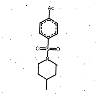 [CH2]C(=O)c1ccc(S(=O)(=O)N2CCC(C)CC2)cc1